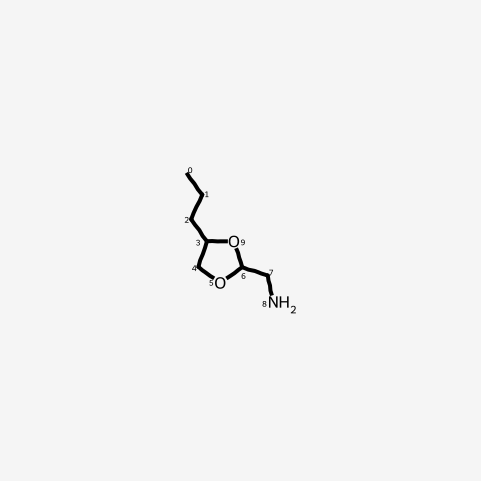 CCCC1COC(CN)O1